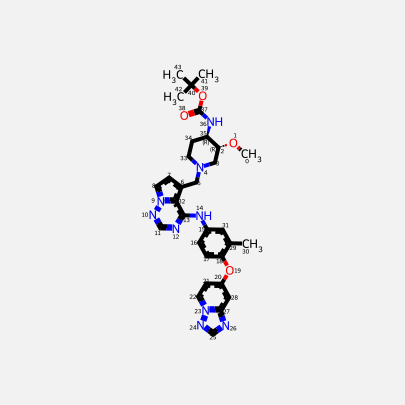 CO[C@@H]1CN(Cc2ccn3ncnc(Nc4ccc(Oc5ccn6ncnc6c5)c(C)c4)c23)CC[C@H]1NC(=O)OC(C)(C)C